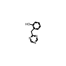 Oc1ccccc1Cc1ncncn1